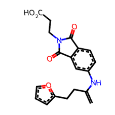 C=C(CCc1ccco1)Nc1ccc2c(c1)C(=O)N(CCC(=O)O)C2=O